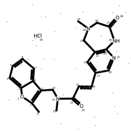 Cc1oc2ccccc2c1CN(C)C(=O)C=Cc1cnc2c(c1)CN(C)CC(=O)N2.Cl